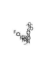 CCc1nc2ccc(N3CCN(CC(=O)N4C(C)CCC4C)CC3)nn2c1N(C)c1nc(-c2ccc(F)cc2)cs1